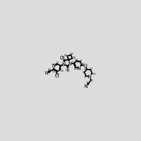 N#CCN1CCC(Oc2ccc(N3C(=S)N(c4cnc(C#N)c(Cl)c4)C(=O)C34CCC4)cn2)CC1